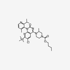 CCCCOC(=O)N1CCN(c2nc(=O)n(-c3c(C)ccnc3C(C)C)c3n[c]([Sn]([CH3])([CH3])[CH3])c(Cl)cc23)C(C)C1